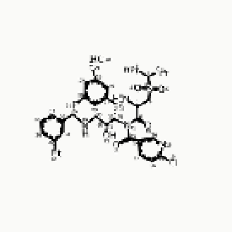 CCCC(CCC)S(=O)(=O)CC(N)C(=O)N(C(=O)c1ccc(Cl)nc1)[C@@H](Cc1cc(F)cc(F)c1)[C@H](O)CNCc1cccc(CC)c1.Cl